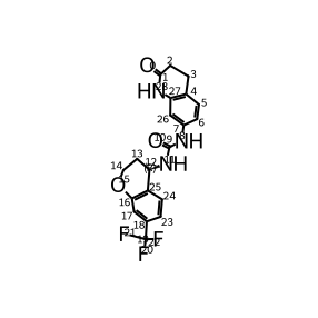 O=C1CCc2ccc(NC(=O)N[C@@H]3CCOc4cc(C(F)(F)F)ccc43)cc2N1